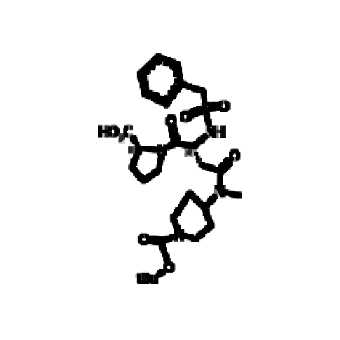 CN(C(=O)C[C@@H](NS(=O)(=O)Cc1ccccc1)C(=O)N1CCC[C@H]1C(=O)O)C1CCN(C(=O)OC(C)(C)C)CC1